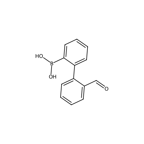 O=Cc1ccccc1-c1ccccc1B(O)O